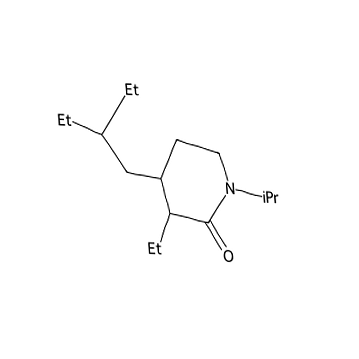 CCC(CC)CC1CCN(C(C)C)C(=O)C1CC